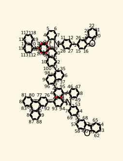 c1cc(-c2ccccc2N(c2ccc(-c3ccc4oc5ccccc5c4c3)cc2)c2cc3cc(-c4cccc5c(-c6cccc(-c7ccccc7N(c7ccc(-c8ccc9oc%10ccccc%10c9c8)cc7)c7ccc(-c8ccc9c%10ccccc%10c%10ccccc%10c9c8)cc7)c6)cccc45)ccc3c3ccccc23)cc(-c2cccc3ccccc23)c1